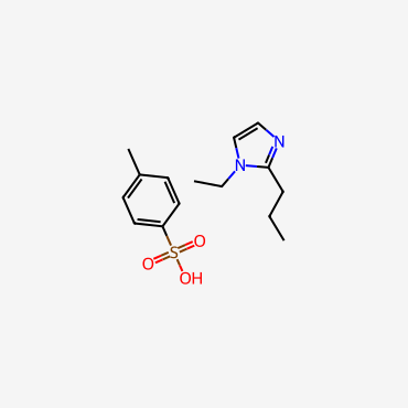 CCCc1nccn1CC.Cc1ccc(S(=O)(=O)O)cc1